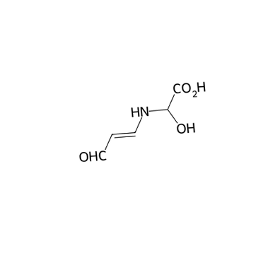 O=CC=CNC(O)C(=O)O